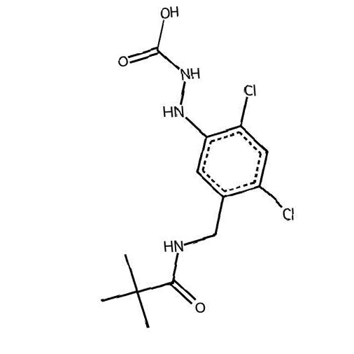 CC(C)(C)C(=O)NCc1cc(NNC(=O)O)c(Cl)cc1Cl